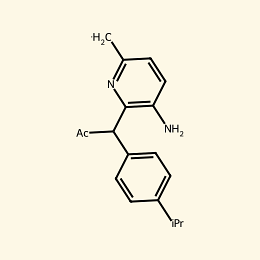 [CH2]c1ccc(N)c(C(C(C)=O)c2ccc(C(C)C)cc2)n1